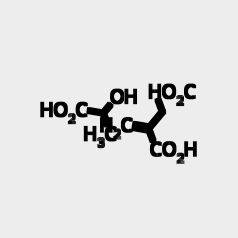 C=C(CC(=O)O)C(=O)O.CC(O)C(=O)O